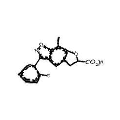 Cc1c2c(cc3c(-c4ccccc4F)noc13)CC(C(=O)O)O2